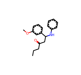 CCCC(=O)CC(Nc1ccccc1)c1cccc(OC)c1